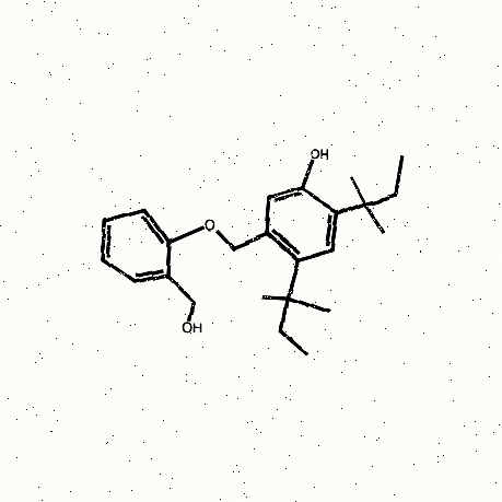 CCC(C)(C)c1cc(C(C)(C)CC)c(COc2ccccc2CO)cc1O